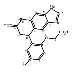 O=C(O)COc1ccc(Cl)cc1C1CC(=O)Nc2cc3[nH]ncc3cc21